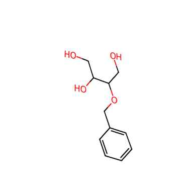 OCC(O)C(CO)OCc1ccccc1